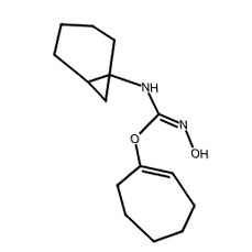 ON=C(NC12CCCCC1C2)OC1=CCCCCC1